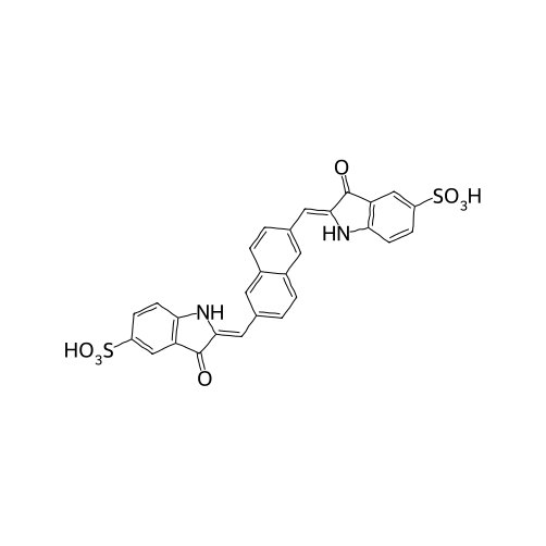 O=C1C(=Cc2ccc3cc(C=C4Nc5ccc(S(=O)(=O)O)cc5C4=O)ccc3c2)Nc2ccc(S(=O)(=O)O)cc21